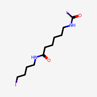 O=C(I)NCCCCCC(=O)NCCCCI